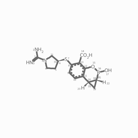 N=C(N)N1CC[C@H](Sc2ccc3c(c2C(=O)O)OB(O)[C@@H]2C[C@H]32)C1